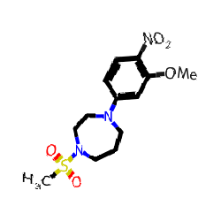 COc1cc(N2CCCN(S(C)(=O)=O)CC2)ccc1[N+](=O)[O-]